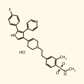 CNS(=O)(=O)c1ccc(CCN2CC=C(c3c[nH]c(-c4ccc(F)cc4)c3-c3ccncc3)CC2)cc1C.Cl